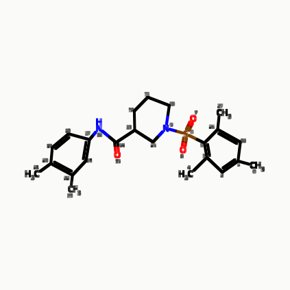 Cc1cc(C)c(S(=O)(=O)N2CCCC(C(=O)Nc3ccc(C)c(C(F)(F)F)c3)C2)c(C)c1